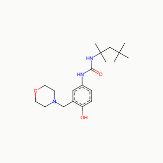 CC(C)(C)CC(C)(C)NC(=O)Nc1ccc(O)c(CN2CCOCC2)c1